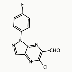 O=Cc1nc2c(cnn2-c2ccc(F)cc2)nc1Cl